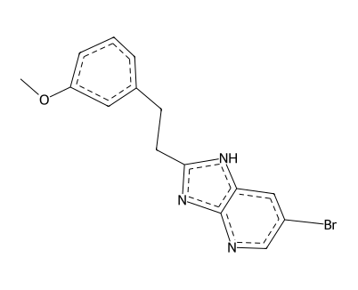 COc1cccc(CCc2nc3ncc(Br)cc3[nH]2)c1